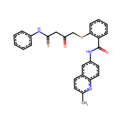 Cc1ccc2cc(NC(=O)c3ccccc3SCC(=O)CC(=S)Nc3ccccc3)ccc2n1